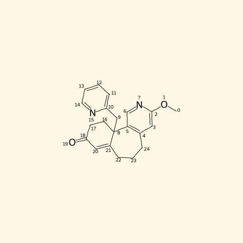 COc1cc2c(cn1)C1(Cc3ccccn3)CCC(=O)C=C1CCC2